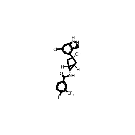 O=C(N[C@@H]1[C@@H]2C[C@@](O)(c3cc(Cl)cc4[nH]ncc34)C[C@@H]21)c1ccc(F)c(C(F)(F)F)c1